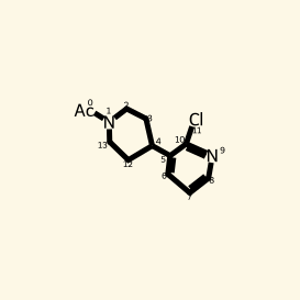 CC(=O)N1CCC(c2cccnc2Cl)CC1